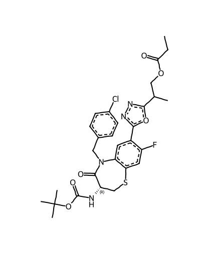 CCC(=O)OCC(C)c1nnc(-c2cc3c(cc2F)SC[C@H](NC(=O)OC(C)(C)C)C(=O)N3Cc2ccc(Cl)cc2)o1